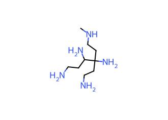 CNCCC(N)(CCN)C(N)CCN